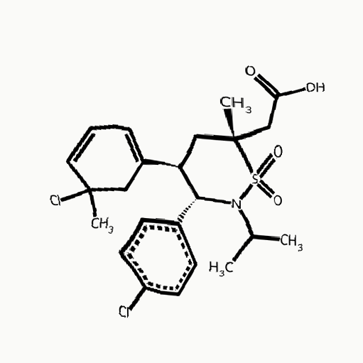 CC(C)N1[C@H](c2ccc(Cl)cc2)[C@@H](C2=CC=CC(C)(Cl)C2)C[C@](C)(CC(=O)O)S1(=O)=O